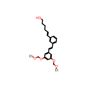 CCOCOc1cc(C=Cc2cccc(C=CCCCCO)c2)cc(OCOCC)c1